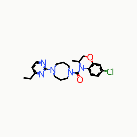 CCc1ccnc(N2CCCN(C(=O)N3c4ccc(Cl)cc4OCC3C)CCC2)n1